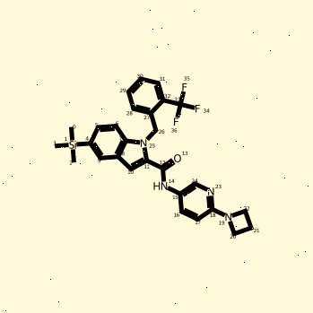 C[Si](C)(C)c1ccc2c(c1)cc(C(=O)Nc1ccc(N3CCC3)nc1)n2Cc1ccccc1C(F)(F)F